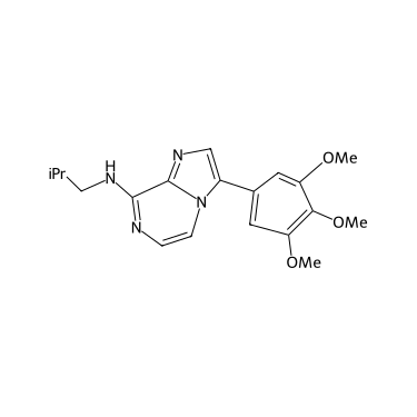 COc1cc(-c2cnc3c(NCC(C)C)nccn23)cc(OC)c1OC